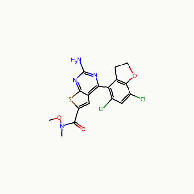 CON(C)C(=O)c1cc2c(-c3c(Cl)cc(Cl)c4c3CCO4)nc(N)nc2s1